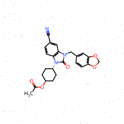 CC(=O)O[C@H]1CC[C@H](n2c(=O)n(Cc3ccc4c(c3)OCO4)c3cc(C#N)ccc32)CC1